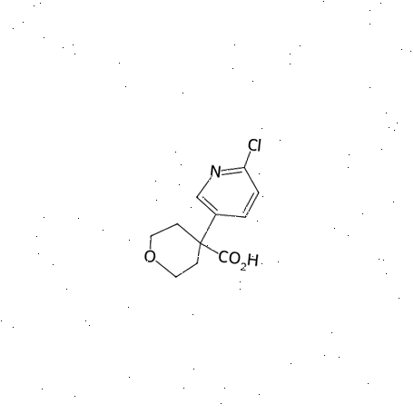 O=C(O)C1(c2ccc(Cl)nc2)CCOCC1